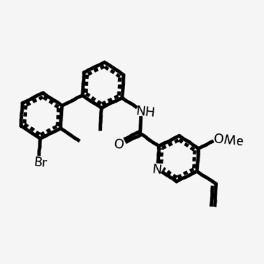 C=Cc1cnc(C(=O)Nc2cccc(-c3cccc(Br)c3C)c2C)cc1OC